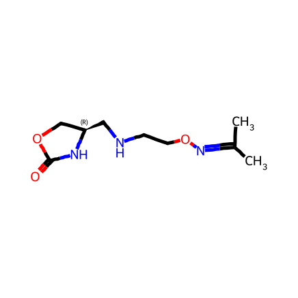 CC(C)=NOCCNC[C@@H]1COC(=O)N1